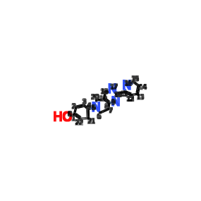 Oc1ccc(N2CCc3nc(-c4ccccn4)ncc3C2)cc1